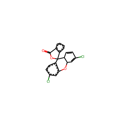 O=C1OC2(c3ccc(Cl)cc3OC3C=C(Cl)C=CC32)c2ccccc21